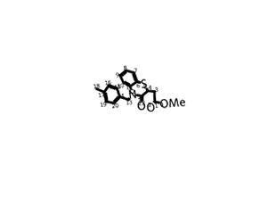 COC(=O)CC1Sc2ccccc2N(Cc2ccc(C)cc2)C1=O